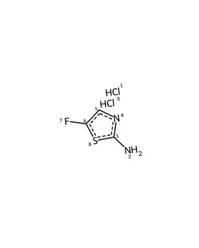 Cl.Cl.Nc1ncc(F)s1